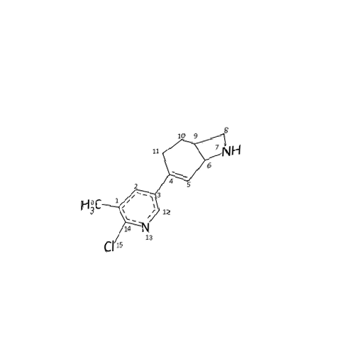 Cc1cc(C2=CC3NCC3CC2)cnc1Cl